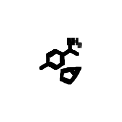 Cc1ccc(C(C)N)cc1.c1cc2cc-2c1